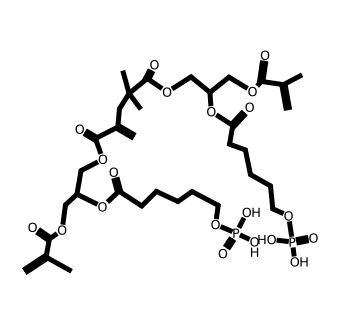 C=C(C)C(=O)OCC(COC(=O)C(=C)CC(C)(C)C(=O)OCC(COC(=O)C(=C)C)OC(=O)CCCCCOP(=O)(O)O)OC(=O)CCCCCOP(=O)(O)O